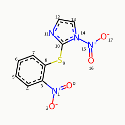 O=[N+]([O-])c1ccccc1Sc1nccn1[N+](=O)[O-]